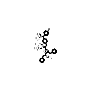 CCN(CC)C(CC1CCC(C(c2ccc(F)cc2)N(C)C)CC1)c1nc(Cc2ccccc2)c(C(N)Cc2ccccc2)o1